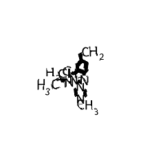 C=Cc1ccc2c(c1)C(C)N(N=C(C)C)C(N1CCN(C)CC1)=N2